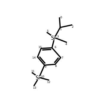 CC(C)[Si](C)(C)c1ccc([Si](C)(C)C)cc1